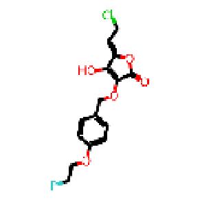 O=C1OC(=CCCl)C(O)=C1OCc1ccc(OCCF)cc1